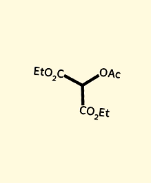 CCOC(=O)C(OC(C)=O)C(=O)OCC